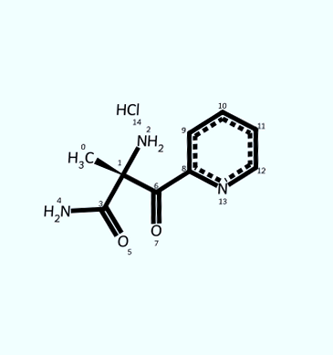 C[C@](N)(C(N)=O)C(=O)c1ccccn1.Cl